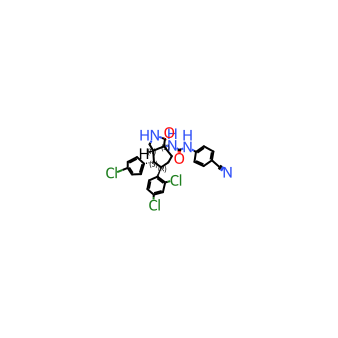 N#Cc1ccc(NC(=O)N[C@@]23CC[C@@H](c4ccc(Cl)cc4Cl)[C@H](c4ccc(Cl)cc4)[C@@H]2CNC3=O)cc1